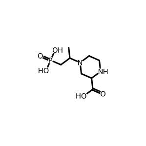 CC(CP(=O)(O)O)N1CCNC(C(=O)O)C1